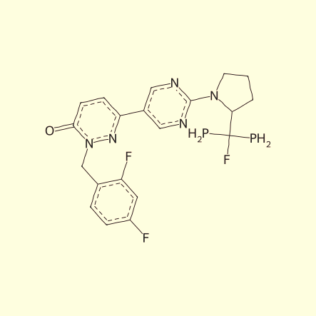 O=c1ccc(-c2cnc(N3CCCC3C(F)(P)P)nc2)nn1Cc1ccc(F)cc1F